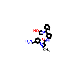 Cc1cc(C(=O)Nc2cccc(C(c3ccccc3)N3CCC(O)C3)c2)n(-c2cccc(CN)c2)n1